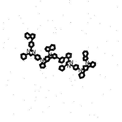 c1ccc(-c2cc(-c3ccc(-n4c5ccccc5c5cc6c7cc(-c8cccc(-c9ccccc9-c9cc(-c%10ccccc%10)nc(-c%10ccc(-n%11c%12ccccc%12c%12cc%13c%14ccccc%14n(-c%14ccc%15ccccc%15c%14)c%13cc%12%11)cc%10)n9)c8)ccc7n(-c7cccc8ccccc78)c6cc54)cc3)nc(-c3ccc(-c4cccc5ccccc45)cc3)n2)cc1